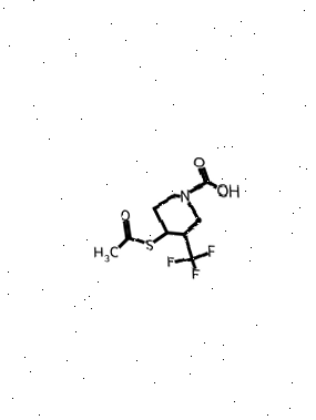 CC(=O)SC1CCN(C(=O)O)CC1C(F)(F)F